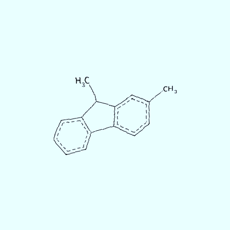 Cc1ccc2c(c1)C(C)c1ccccc1-2